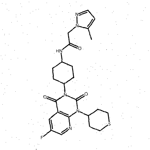 Cc1ccnn1CC(=O)NC1CCC(n2c(=O)c3cc(F)cnc3n(C3CCSCC3)c2=O)CC1